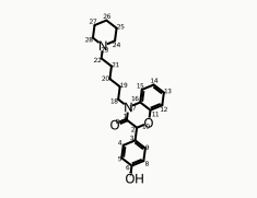 O=C1C(c2ccc(O)cc2)Oc2ccccc2N1CCCCCN1CCCCC1